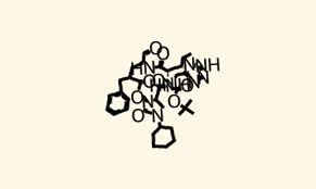 CC[C@H](C)[C@H](NC(=O)OC(C)(C)C)C(=O)NC(C=O)CC(Cc1ccccc1)C(=O)ON1C(=O)N(C2CCCCC2)CC1C(=O)NCc1nn[nH]n1